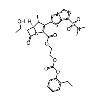 CCc1ccccc1OC(=O)OCCOC(=O)C1=C(c2cn3cnc(S(=O)(=O)N(C)C)c3s2)[C@H](C)[C@@H]2[C@@H](C(C)O)C(=O)N12